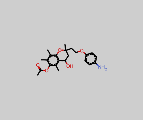 CC(=O)Oc1c(C)c(C)c2c(c1C)C(O)CC(C)(CCOc1ccc(N)cc1)O2